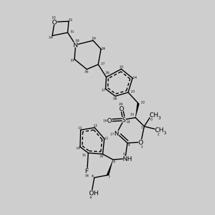 CC1(C)OC(N[C@@H](CCO)c2ccccc2F)=NS(=O)(=O)[C@H]1Cc1ccc(C2CCN(C3COC3)CC2)cc1